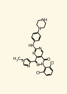 Cn1cnc(-c2nn(-c3c(Cl)cccc3Cl)c(=O)c3cnc(Nc4ccc(N5CCNCC5)cc4)nc23)c1